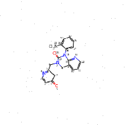 O=C1C=CN=C(CN2Cc3cccnc3N(c3ccccc3[N+](=O)[O-])C2=O)C1